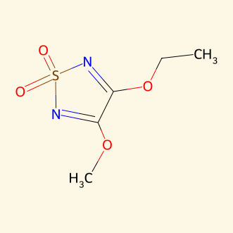 CCOC1=NS(=O)(=O)N=C1OC